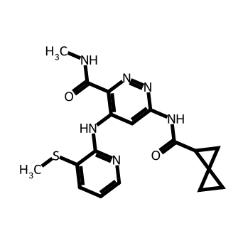 CNC(=O)c1nnc(NC(=O)C2CC23CC3)cc1Nc1ncccc1SC